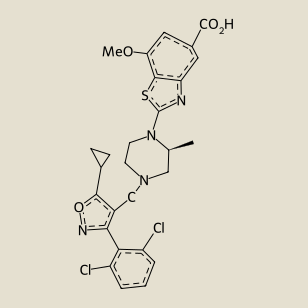 COc1cc(C(=O)O)cc2nc(N3CCN(Cc4c(-c5c(Cl)cccc5Cl)noc4C4CC4)C[C@@H]3C)sc12